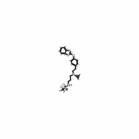 O=S(=O)(NCCCN(CCc1ccc(Oc2nc3ccccc3s2)cc1)C1CC1)C(F)(F)F